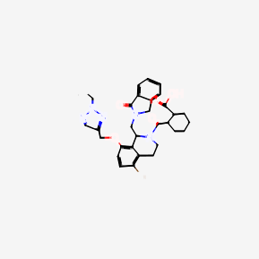 CCn1ncc(COc2ccc(Br)c3c2C(CN2Cc4ccccc4C2=O)N(C(=O)C2CCCCC2C(=O)O)CC3)n1